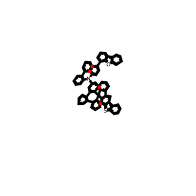 c1ccc(-c2ccccc2N(c2ccc(-c3cccc4c3oc3ccccc34)cc2)c2ccc3c(c2)-c2ccccc2-c2ccccc2C32c3ccccc3-c3cc4c(cc32)sc2ccccc24)cc1